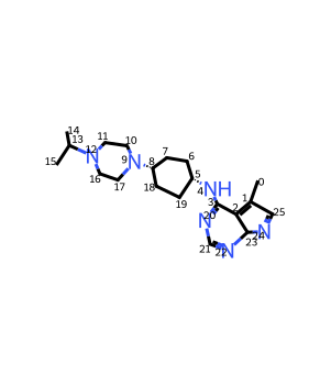 CC1=C2C(N[C@H]3CC[C@@H](N4CCN(C(C)C)CC4)CC3)=NC=NC2N=C1